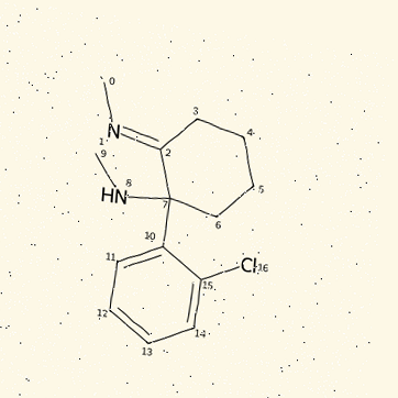 C/N=C1\CCCCC1(NC)c1ccccc1Cl